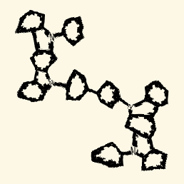 c1ccc(-n2c3ccccc3c3cc4c5ccccc5n(-c5ccc(-c6ccc(-n7c8ccccc8c8cc9c%10ccccc%10n(-c%10ccccc%10)c9cc87)cc6)cc5)c4cc32)cc1